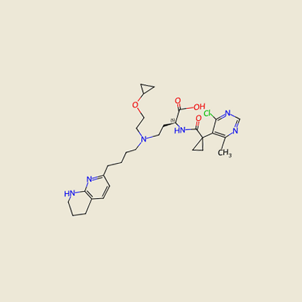 Cc1ncnc(Cl)c1C1(C(=O)N[C@@H](CCN(CCCCc2ccc3c(n2)NCCC3)CCOC2CC2)C(=O)O)CC1